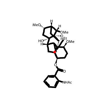 CCN1C[C@]2(OC(=O)c3ccccc3NC(C)=O)CC[C@H](OC)[C@]34C1[C@H](CC23)[C@@]1(O)C[C@H](OC)[C@H]2CC4[C@]1(O)[C@H]2OC